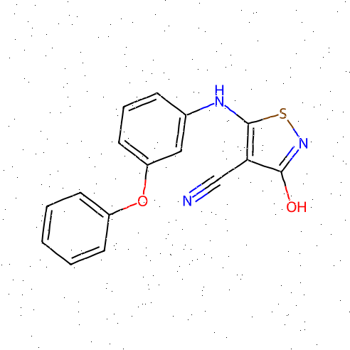 N#Cc1c(O)nsc1Nc1cccc(Oc2ccccc2)c1